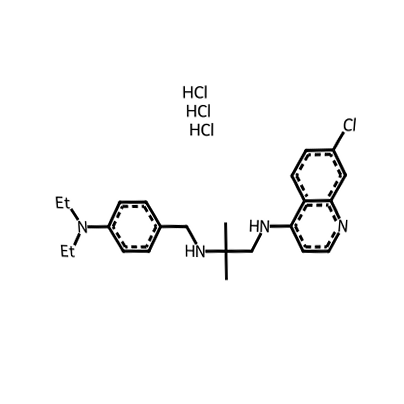 CCN(CC)c1ccc(CNC(C)(C)CNc2ccnc3cc(Cl)ccc23)cc1.Cl.Cl.Cl